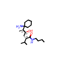 CCCCNC(=O)[C@@H](C[C@H](O)[C@@H](C)C1(N)CCCCC1)C(C)C